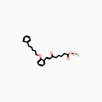 COC(=O)CCCCC(=O)C=Cc1ccccc1OCCCCCc1ccccc1